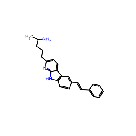 CC(N)CCCc1ccc2c(n1)[nH]c1ccc(C=Cc3ccccc3)cc12